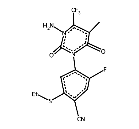 CCSc1cc(-n2c(=O)c(C)c(C(F)(F)F)n(N)c2=O)c(F)cc1C#N